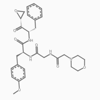 COc1ccc(C[C@H](NC(=O)CNC(=O)CN2CCOCC2)C(=O)N[C@@H](Cc2ccccc2)C(=O)[C@H]2CO2)cc1